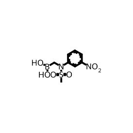 CS(=O)(=O)N(CB(O)O)c1cccc([N+](=O)[O-])c1